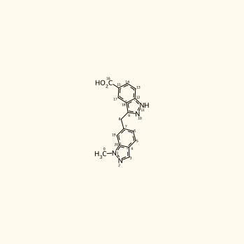 Cn1ncc2ccc(Cc3n[nH]c4ccc(C(=O)O)cc34)cc21